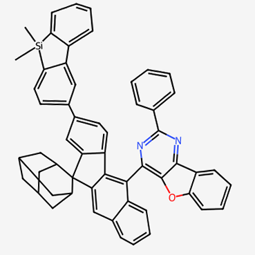 C[Si]1(C)c2ccccc2-c2cc(-c3ccc4c(c3)C3(c5cc6ccccc6c(-c6nc(-c7ccccc7)nc7c6oc6ccccc67)c5-4)C4CC5CC(C4)CC3C5)ccc21